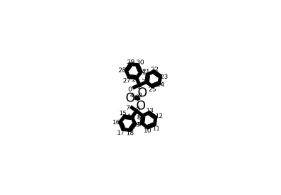 CC(OC(=O)OC(C)(c1ccccc1)c1ccccc1)(c1ccccc1)c1ccccc1